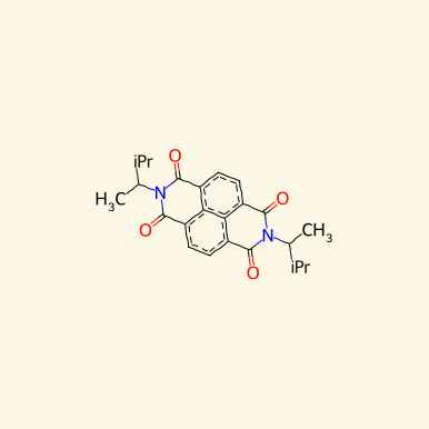 CC(C)C(C)N1C(=O)c2ccc3c4c(ccc(c24)C1=O)C(=O)N(C(C)C(C)C)C3=O